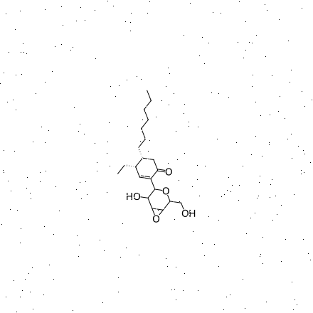 CCCCCCC[C@@H]1CC(=O)C(C2OC(CO)C3OC3C2O)=C[C@@H]1CC